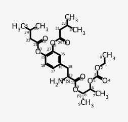 CCOC(=O)OC(C)[C@H](C)OC(=O)[C@@H](N)Cc1ccc(OC(=O)CC(C)C)c(OC(=O)CC(C)C)c1